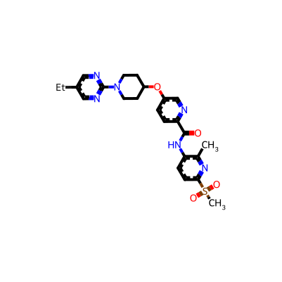 CCc1cnc(N2CCC(Oc3ccc(C(=O)Nc4ccc(S(C)(=O)=O)nc4C)nc3)CC2)nc1